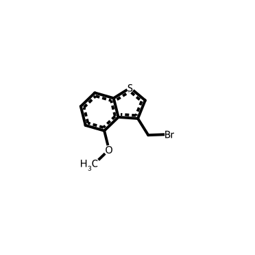 COc1cccc2scc(CBr)c12